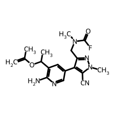 C=C(C)OC(C)c1cc(-c2c(CN(C)C(=O)F)nn(C)c2C#N)cnc1N